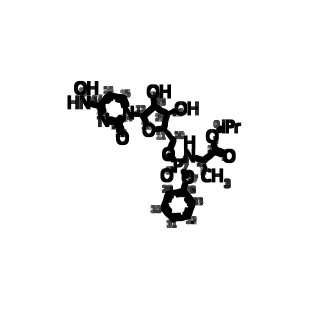 CC(C)OC(=O)[C@H](C)NP(=O)(OC[C@H]1O[C@@H](n2ccc(NO)nc2=O)C(O)[C@H]1O)Oc1ccccc1